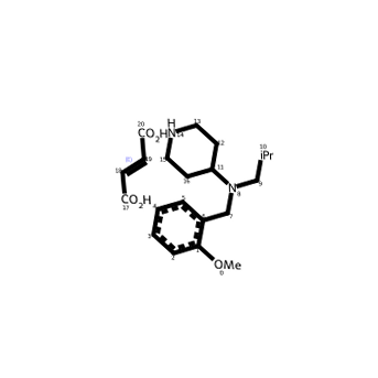 COc1ccccc1CN(CC(C)C)C1CCNCC1.O=C(O)/C=C/C(=O)O